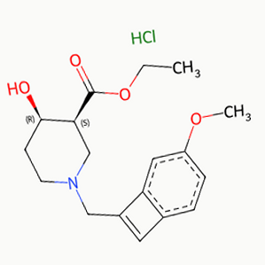 CCOC(=O)[C@H]1CN(CC2=Cc3ccc(OC)cc32)CC[C@H]1O.Cl